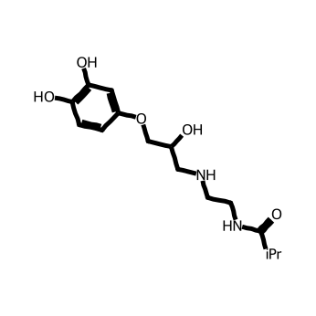 CC(C)C(=O)NCCNCC(O)COc1ccc(O)c(O)c1